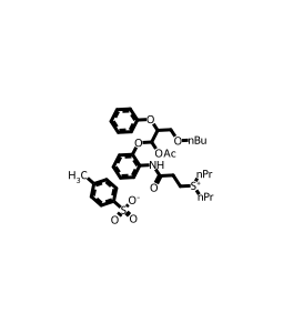 CCCCOCC(Oc1ccccc1)C(OC(C)=O)Oc1ccccc1NC(=O)CC[S+](CCC)CCC.Cc1ccc(S(=O)(=O)[O-])cc1